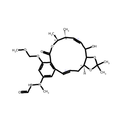 COCOc1cc(N(C)BC=O)cc2c1C(=O)O[C@@H](C)[C@H](C)/C=C\C(O)C1OC(C)(C)O[C@H]1C/C=C/2